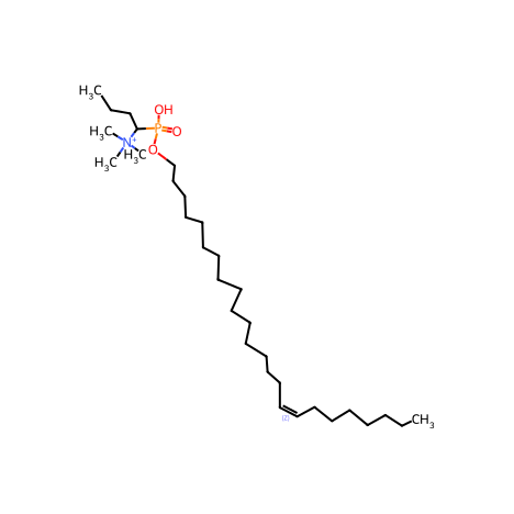 CCCCCCC/C=C\CCCCCCCCCCCCCCCOP(=O)(O)C(CCC)[N+](C)(C)C